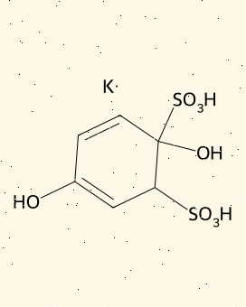 O=S(=O)(O)C1C=C(O)C=CC1(O)S(=O)(=O)O.[K]